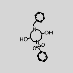 O=S(=O)(c1ccccc1)N1CC(O)CN(Cc2ccccc2)CC(O)C1